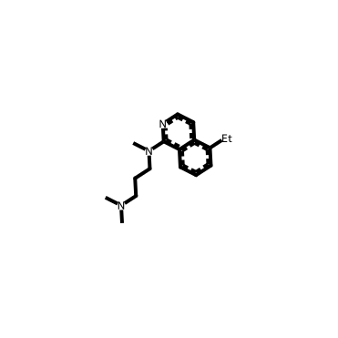 CCc1cccc2c(N(C)CCCN(C)C)nccc12